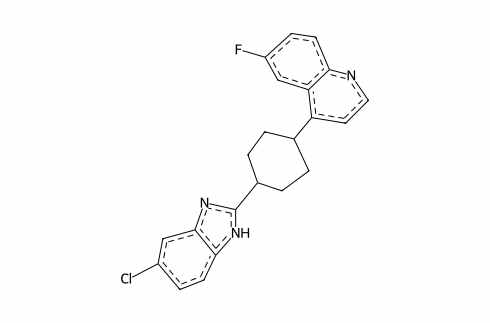 Fc1ccc2nccc(C3CCC(c4nc5cc(Cl)ccc5[nH]4)CC3)c2c1